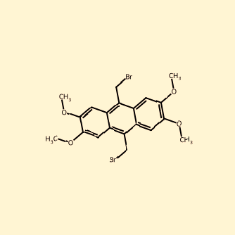 COc1cc2c(CBr)c3cc(OC)c(OC)cc3c(CBr)c2cc1OC